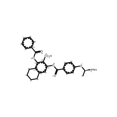 CCCCCC[C@@H](C)Oc1ccc(C(=O)Oc2cc3c(c(OC(=O)c4ccccc4)c2C(=O)O)CCCC3)cc1